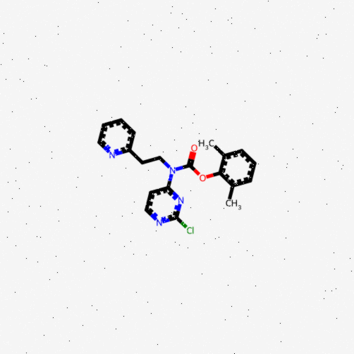 Cc1cccc(C)c1OC(=O)N(CCc1ccccn1)c1ccnc(Cl)n1